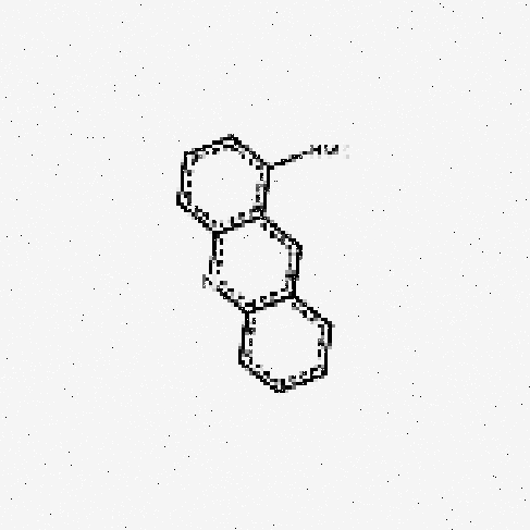 CNc1cccc2nc3ccccc3cc12